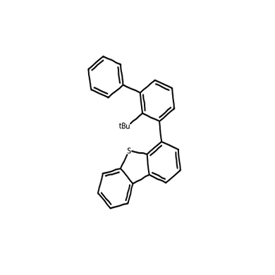 CC(C)(C)c1c(-c2ccccc2)cccc1-c1cccc2c1sc1ccccc12